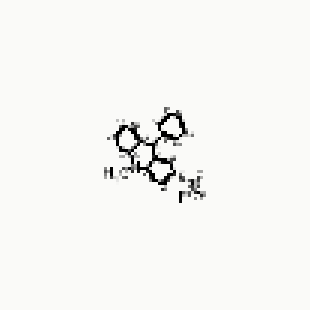 CN1c2ccccc2C(c2ccccc2)c2ccccc21.F[B-](F)(F)F